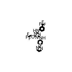 FC(F)(F)COc1nc(Nc2cccc(C(F)(F)F)c2)nc(NC2CCN(c3ncccn3)CC2)n1